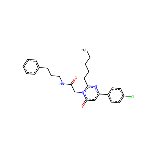 CCCCCc1nc(-c2ccc(Cl)cc2)cc(=O)n1CC(=O)NCCCc1ccccc1